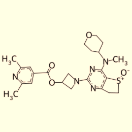 Cc1cc(C(=O)OC2CN(c3nc4c(c(N(C)C5CCOCC5)n3)[S+]([O-])CC4)C2)cc(C)n1